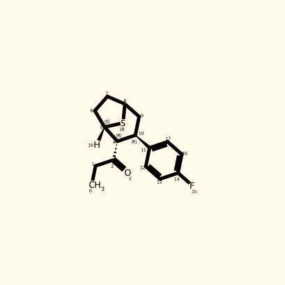 CCC(=O)[C@@H]1[C@@H]2CCC(C[C@H]1c1ccc(F)cc1)S2